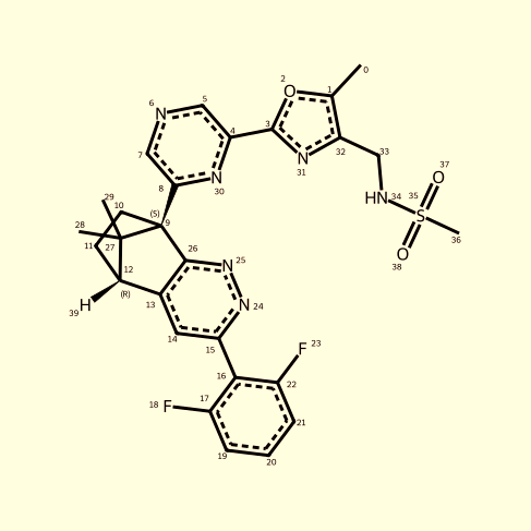 Cc1oc(-c2cncc([C@@]34CC[C@@H](c5cc(-c6c(F)cccc6F)nnc53)C4(C)C)n2)nc1CNS(C)(=O)=O